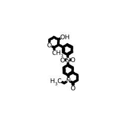 CCN1C(=O)CCc2cc(S(=O)(=O)c3cccc(C4C(O)CCOC4C)c3)ccc21